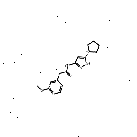 COc1cc(CC(=O)Nc2cc([C@@H]3C[CH]CC3)[nH]n2)ccn1